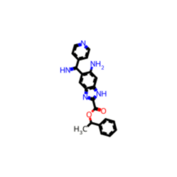 CC(OC(=O)c1nc2cc(C(=N)c3ccncc3)c(N)cc2[nH]1)c1ccccc1